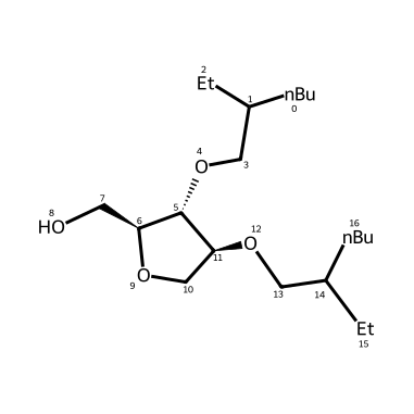 CCCCC(CC)CO[C@H]1[C@H](CO)OC[C@@H]1OCC(CC)CCCC